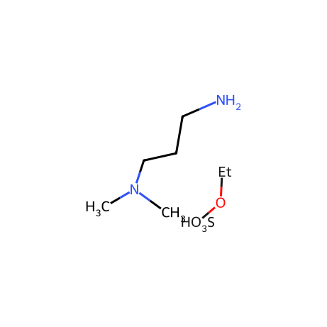 CCOS(=O)(=O)O.CN(C)CCCN